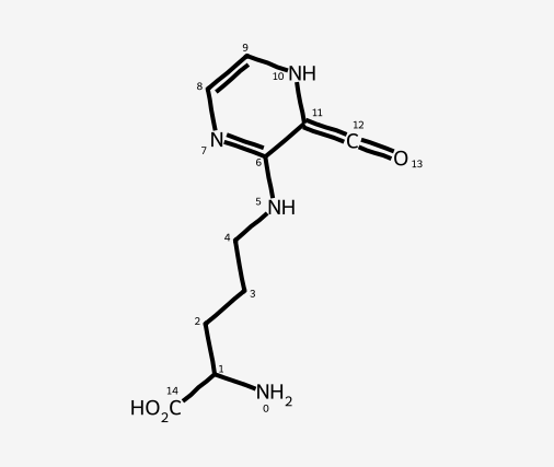 NC(CCCNC1=NC=CNC1=C=O)C(=O)O